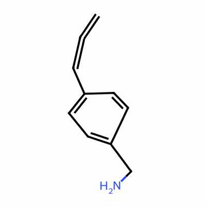 C=C=Cc1ccc(CN)cc1